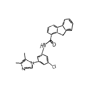 Cc1ncn(-c2cc(Cl)cc(NC(=O)c3cccc4c3Cc3ccccc3-4)c2)c1C